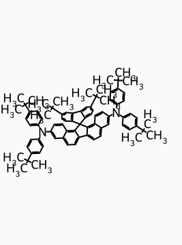 CC(C)(C)c1ccc(N(c2ccc(C(C)(C)C)cc2)c2ccc3c4c(ccc3c2)-c2ccc3cc(N(c5ccc(C(C)(C)C)cc5)c5ccc(C(C)(C)C)cc5)ccc3c2C42c3ccc(C(C)(C)C)cc3-c3cc(C(C)(C)C)ccc32)cc1